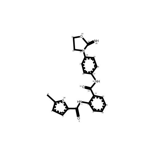 Cc1ccc(C(=O)Nc2ccccc2C(=O)Nc2ccc(N3CCOC3=N)cc2)s1